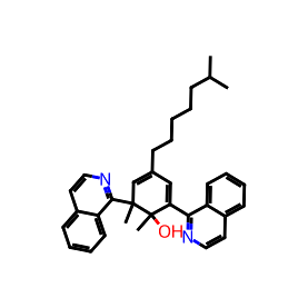 CC(C)CCCCCC1=CC(C)(c2nccc3ccccc23)C(C)(O)C(c2nccc3ccccc23)=C1